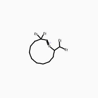 CCC(CC)C1CCCCCCCCC(CC)(CC)/C=N/1